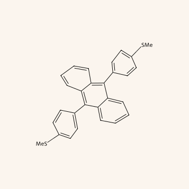 CSc1ccc(-c2c3ccccc3c(-c3ccc(SC)cc3)c3ccccc23)cc1